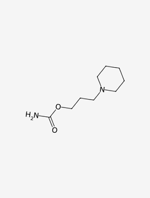 NC(=O)OCCCN1CCCCC1